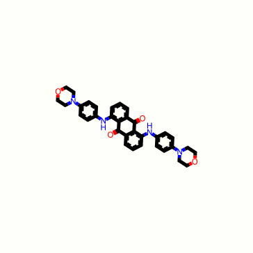 O=C1c2cccc(Nc3ccc(N4CCOCC4)cc3)c2C(=O)c2cccc(Nc3ccc(N4CCOCC4)cc3)c21